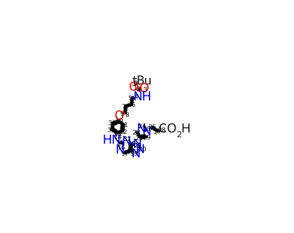 CC(C)(C)OC(=O)NCCCCOc1ccc(Nc2ncc3nnn(-c4cnn(CCC(=O)O)c4)c3n2)cc1